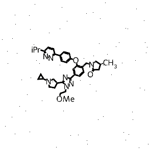 COCCn1nc(-c2ccc(CN3C[C@@H](C)CC3=O)c(Oc3ccc(-c4ccc(C(C)C)nn4)cc3)c2)nc1C1CCN(C2CC2)C1